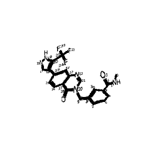 CNC(=O)c1cccc(Cn2cnc3cc(-c4cn[nH]c4C(F)(F)F)ccc3c2=O)c1